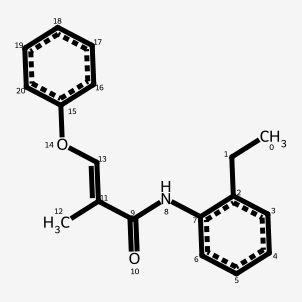 CCc1ccccc1NC(=O)C(C)=COc1ccccc1